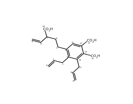 C=CCc1c(CCC(C=C)C(=O)O)cc(C(=O)O)c(C(=O)O)c1CC=C